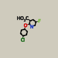 O=C(O)c1cc(F)cnc1Oc1ccc(Cl)cc1